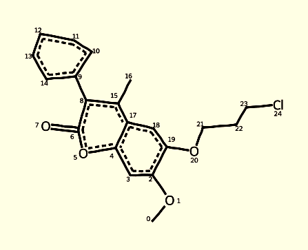 COc1cc2oc(=O)c(-c3ccccc3)c(C)c2cc1OCCCCl